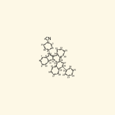 N#Cc1ccc(-n2c3ccccc3c3c4c5ccccc5c(-c5ccccc5)cc4c4ccccc4c32)cc1